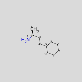 C[C@H](N)CCC1CCCCC1